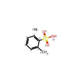 Cc1ccccc1S(=O)(=O)O.[Ni]